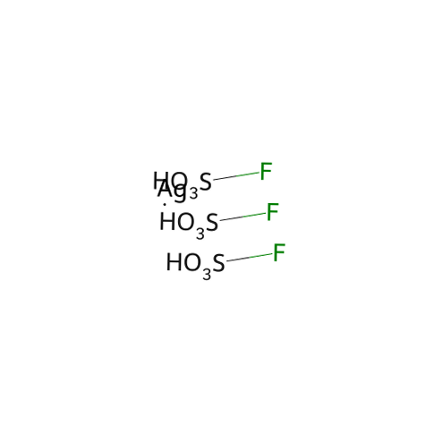 O=S(=O)(O)F.O=S(=O)(O)F.O=S(=O)(O)F.[Ag]